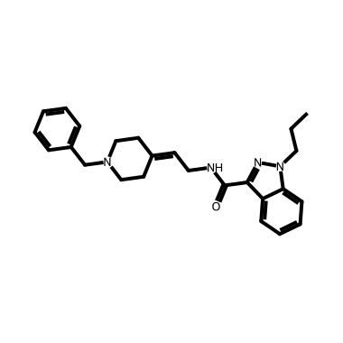 CCCn1nc(C(=O)NCC=C2CCN(Cc3ccccc3)CC2)c2ccccc21